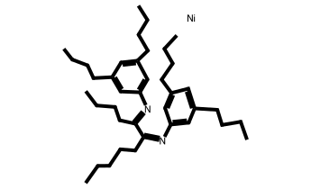 CCCCCC(=Nc1cc(CCCC)cc(CCCC)c1)C(CCCC)=Nc1cc(CCCC)cc(CCCC)c1.[Ni]